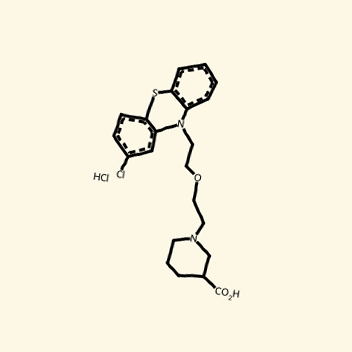 Cl.O=C(O)C1CCCN(CCOCCN2c3ccccc3Sc3ccc(Cl)cc32)C1